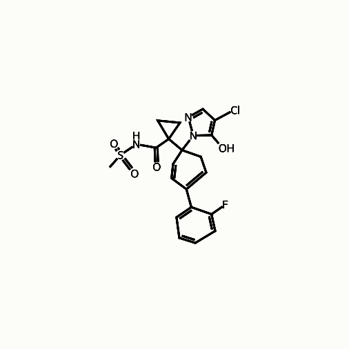 CS(=O)(=O)NC(=O)C1(C2(n3ncc(Cl)c3O)C=CC(c3ccccc3F)=CC2)CC1